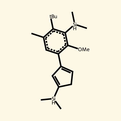 COc1c(C2=CCC([SiH](C)C)=C2)cc(C)c(C(C)(C)C)c1[SiH](C)C